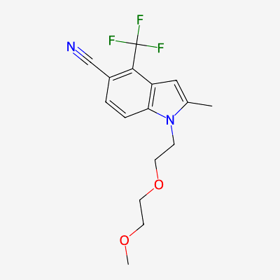 COCCOCCn1c(C)cc2c(C(F)(F)F)c(C#N)ccc21